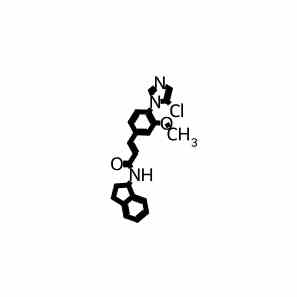 COc1cc(/C=C/C(=O)NC2CCc3ccccc32)ccc1-n1cncc1Cl